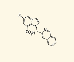 O=C(O)c1cc(F)cc2ccn(Cc3cc4ccccc4cn3)c12